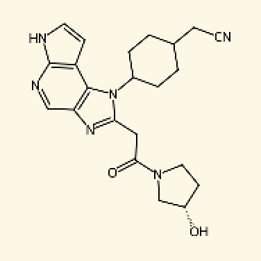 N#CCC1CCC(n2c(CC(=O)N3CC[C@H](O)C3)nc3cnc4[nH]ccc4c32)CC1